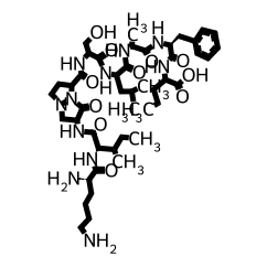 CCCC(NC(=O)[C@H](Cc1ccccc1)NC(=O)C(C)NC(=O)C(CC(C)C)NC(=O)C(CO)NC(=O)C1CCN2CC(NC(=O)[C@@H](NC(=O)[C@@H](N)CCCCN)C(C)CC)C(=O)N12)C(=O)O